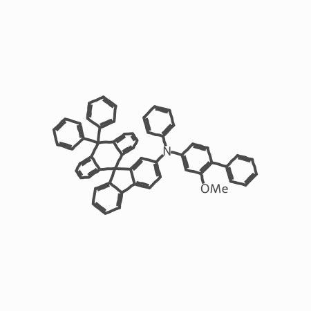 COc1cc(N(c2ccccc2)c2ccc3c(c2)C2(c4ccccc4-3)c3ccccc3C(c3ccccc3)(c3ccccc3)c3ccccc32)ccc1-c1ccccc1